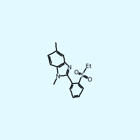 CCS(=O)(=O)c1ccccc1-c1nc2cc(C)ccc2n1C